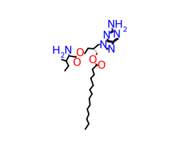 CCCCCCCCCCCCCC(=O)OC[C@H](CCOC(=O)[C@@H](N)C(C)CC)Cn1cnc2cnc(N)nc21